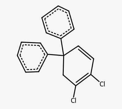 ClC1=C(Cl)CC(c2ccccc2)(c2ccccc2)C=C1